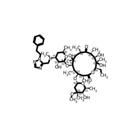 CC[C@H]1OC(=O)[C@H](C)[C@@H](O[C@H]2C[C@@](C)(OC)[C@@H](O)[C@H](C)O2)[C@H](C)[C@@H](O[C@@H]2O[C@H](C)C[C@H](N(C)Cc3ncnn3CCc3ccccc3)[C@H]2O)[C@](C)(O)C[C@@H](C)C(=O)[C@H](C)[C@@H](O)[C@]1(C)O